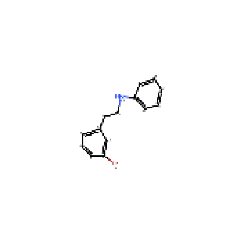 Brc1cccc(CCNc2cc[c]cc2)c1